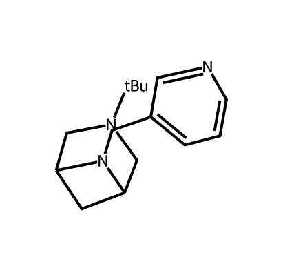 CC(C)(C)N1CC2CC(C1)N2Cc1cccnc1